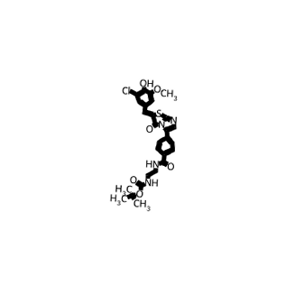 COc1cc(C=c2sc3ncc(-c4ccc(C(=O)NCCNC(=O)OC(C)(C)C)cc4)n3c2=O)cc(Cl)c1O